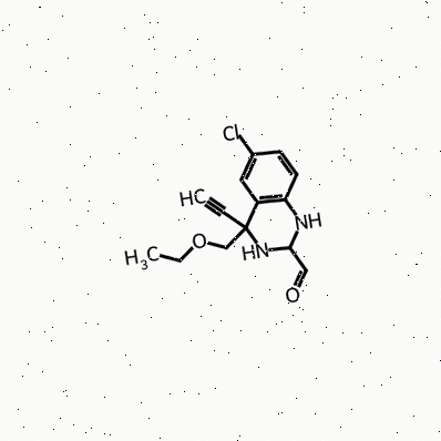 C#CC1(COCC)NC(C=O)Nc2ccc(Cl)cc21